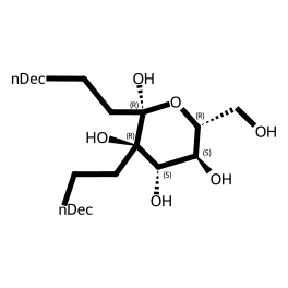 CCCCCCCCCCCC[C@@]1(O)O[C@H](CO)[C@@H](O)[C@H](O)[C@]1(O)CCCCCCCCCCCC